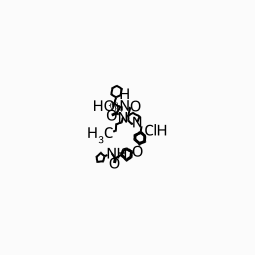 CCCCN1C(=O)[C@@H]([C@H](O)C2CCCCC2)NC(=O)C12CCN(Cc1ccc(Oc3ccc(C(=O)NC4CCCC4)cc3)cc1)CC2.Cl